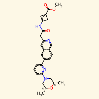 COC(=O)C12CC(NC(=O)Cc3cc4cc(-c5cccc(N6C[C@@H](C)O[C@@H](C)C6)n5)ccc4cn3)(C1)C2